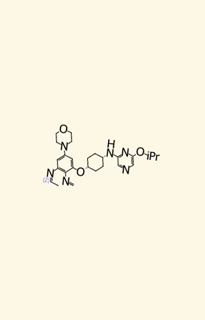 C=Nc1c(/N=C\C)cc(N2CCOCC2)cc1O[C@H]1CC[C@@H](Nc2cncc(OC(C)C)n2)CC1